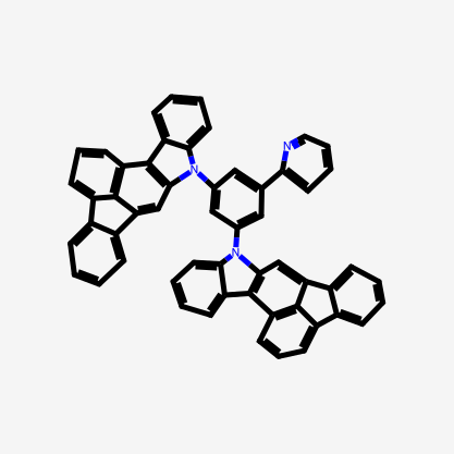 c1ccc(-c2cc(-n3c4ccccc4c4c5cccc6c5c(cc43)-c3ccccc3-6)cc(-n3c4ccccc4c4c5cccc6c5c(cc43)-c3ccccc3-6)c2)nc1